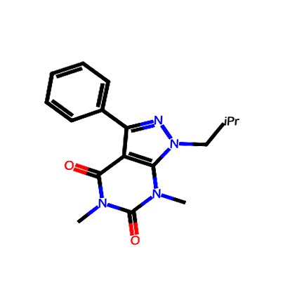 CC(C)Cn1nc(-c2ccccc2)c2c(=O)n(C)c(=O)n(C)c21